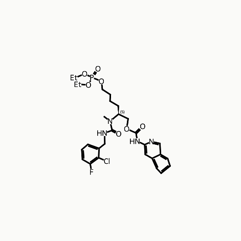 CCOP(=O)(OCC)OCCCC[C@@H](COC(=O)Nc1cc2ccccc2cn1)N(C)C(=O)NCc1cccc(F)c1Cl